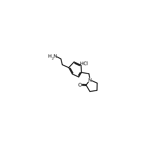 Cl.NCCc1ccc(CN2CCCC2=O)cc1